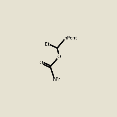 CCCCCC(CC)OC(=O)CCC